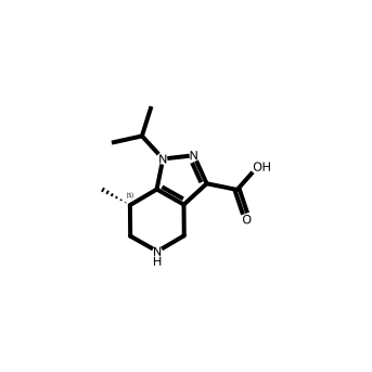 CC(C)n1nc(C(=O)O)c2c1[C@@H](C)CNC2